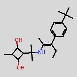 CC/C(=C(/C)NC(C)(C)C1C(O)C(C)C1O)c1ccc(C(C)(C)C)cc1